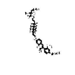 CCCCCc1ccc(-c2cc3ccc(OCCC(F)(F)C(F)(F)C(F)(F)C(F)(F)CCOC(=O)C(C)(CC(C)(C)C)C(C)(C)C)cc3oc2=O)c(C(F)(F)F)c1